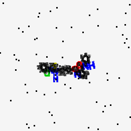 O=C(Nc1ccccc1)c1cccnc1OC1CC2(CC(Nc3nc(-c4ccccc4Cl)cs3)C2)C1